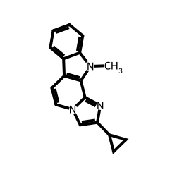 Cn1c2ccccc2c2ccn3cc(C4CC4)nc3c21